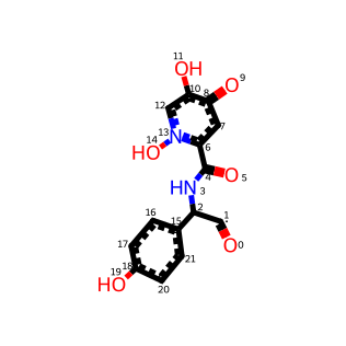 O=[C]C(NC(=O)c1cc(=O)c(O)cn1O)c1ccc(O)cc1